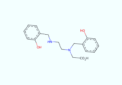 O=C(O)CN(CCNCc1ccccc1O)Cc1ccccc1O